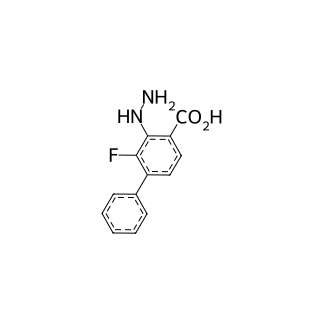 NNc1c(C(=O)O)ccc(-c2ccccc2)c1F